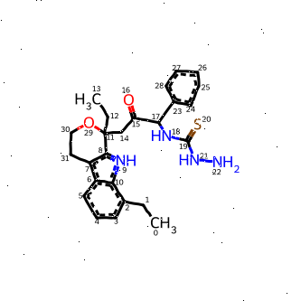 CCc1cccc2c3c([nH]c12)C(CC)(CC(=O)C(NC(=S)NN)c1ccccc1)OCC3